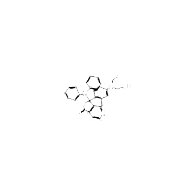 CCN(CC)c1ccc(C2(N(c3ccccc3)c3ccccc3)OC(=O)c3ccncc32)c(C)c1